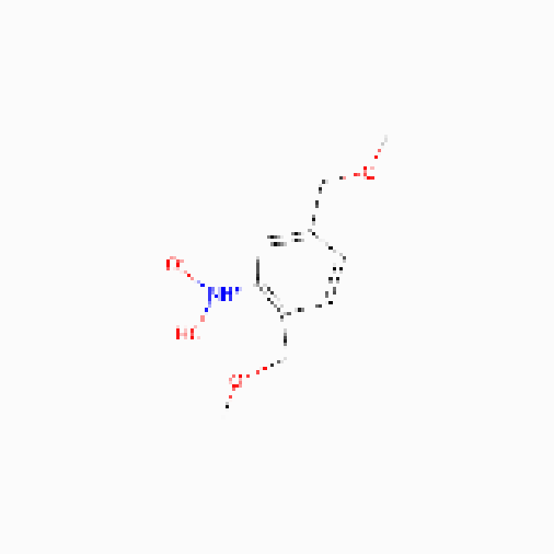 COCc1ccc(COC)c([NH+]([O-])O)c1